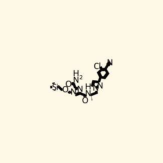 C[C@@H](Cn1ccc(-c2ccc(C#N)c(Cl)c2)n1)NC(=O)c1cn(COCC[Si](C)(C)C)c(C(N)=O)n1